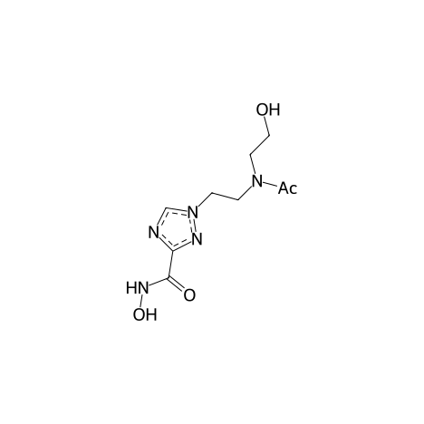 CC(=O)N(CCO)CCn1cnc(C(=O)NO)n1